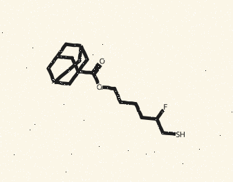 O=C(OCCCCC(F)CS)C12CC3CC(CC(C3)C1)C2